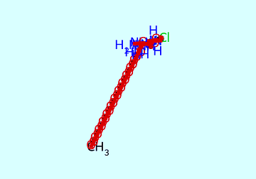 COCCOCCOCCOCCOCCOCCOCCOCCOCCOCCOCCOCCOCCOCCOCCOCCOCCOCCOCCOCCOCCOCCOCCOCCNC(=O)CCC(=O)N[C@@H](CCCNC(=N)N)C(=O)NCCN1CCC(NC(=O)C(=O)Nc2ccc(Cl)cc2)CC12CCCCC2